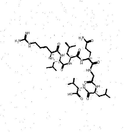 CC(C)C[C@H](NC(=O)CNC(=O)[C@H](CCC(N)=O)NC(=O)[C@H](CC(C)C)NC(=O)[C@H](CC(C)C)NC(=O)[C@@H](N)CCCNC(=N)N)C(=O)N[C@H](C(=O)O)C(C)C